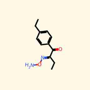 CCC(=NON)C(=O)c1ccc(CC)cc1